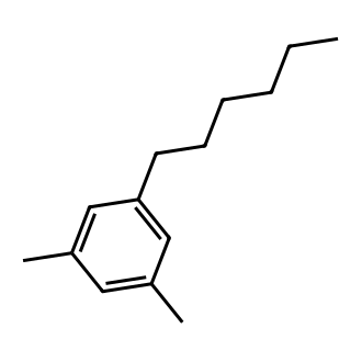 CCCCCCc1cc(C)cc(C)c1